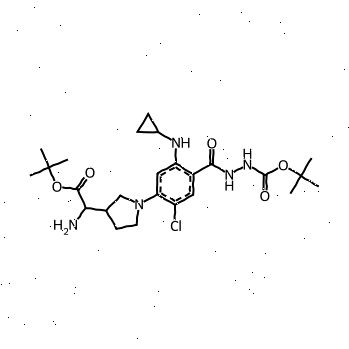 CC(C)(C)OC(=O)NNC(=O)c1cc(Cl)c(N2CCC(C(N)C(=O)OC(C)(C)C)C2)cc1NC1CC1